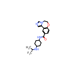 C[C@@H](NC1CCC(NC(=O)c2ccc3c(c2)-c2cncn2CCO3)CC1)C(F)(F)F